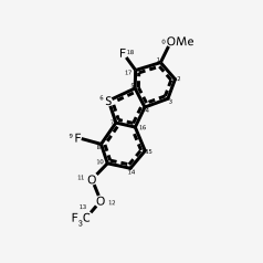 COc1ccc2c(sc3c(F)c(OOC(F)(F)F)ccc32)c1F